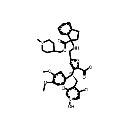 COc1ccc([C@H](Cc2c(Cl)c[n+](O)cc2Cl)c2cc(CNC3(C(=O)OCC4CCN(C)CC4)CCc4ccccc43)sc2C(=O)[O-])cc1OC